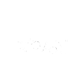 Cc1ccc(S(=O)(=O)c2ccc(C(C)(C)C)c(S)c2)cc1S(=O)(=O)O